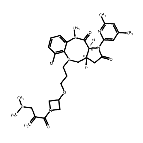 C=C(CN(C)C)C(=O)N1CC(OCCCN2C[C@H]3CC(=O)N(c4cc(C(F)(F)F)cc(C)n4)[C@@H]3C(=O)N(C)c3cccc(Cl)c32)C1